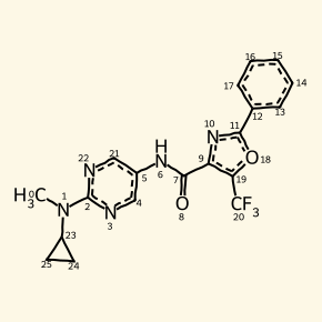 CN(c1ncc(NC(=O)c2nc(-c3ccccc3)oc2C(F)(F)F)cn1)C1CC1